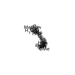 COC(=O)NC(C(=O)N1C2C(C[C@H]1c1ncc(-c3ccc(-c4ccc5c(ccc6nc([C@@H]7[C@H]8CC[C@H](C8)N7C(=O)[C@@H](NC(=O)OC)C(C)C)[nH]c65)c4)cc3F)[nH]1)[C@H]2C)C(C)C